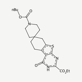 CCCCOC(=O)N1CCC2(CCc3c(sc4nc(C(=O)OCC)[nH]c(=O)c34)C2)CC1